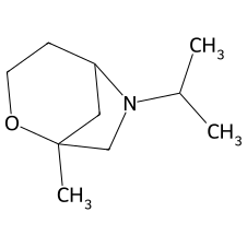 CC(C)N1CC2(C)CC1CCO2